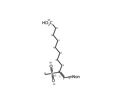 CCCCCCCCC/C=C(\CCCCCCCC(=O)O)S(C)(=O)=O